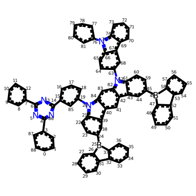 c1ccc(-c2nc(-c3ccccc3)nc(-c3cccc(-n4c5ccc(B6c7ccccc7-c7ccccc76)cc5c5cc6c7cc(B8c9ccccc9-c9ccccc98)ccc7n(-c7ccc8c(c7)c7ccccc7n8-c7ccccc7)c6cc54)c3)n2)cc1